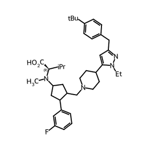 CCn1nc(Cc2ccc(C(C)(C)C)cc2)cc1C1CCN(CC2CC(N(C)[C@@H](C(=O)O)C(C)C)CC2c2cccc(F)c2)CC1